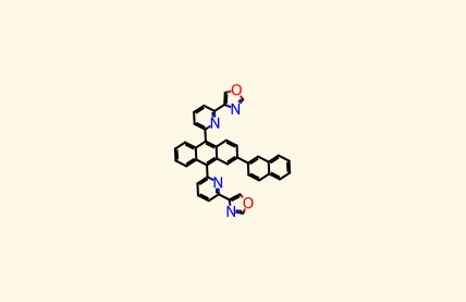 c1cc(-c2cocn2)nc(-c2c3ccccc3c(-c3cccc(-c4cocn4)n3)c3cc(-c4ccc5ccccc5c4)ccc23)c1